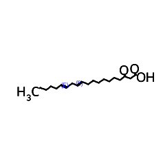 CCCCC/C=C/C/C=C/CCCCCCCC(=O)CC(=O)O